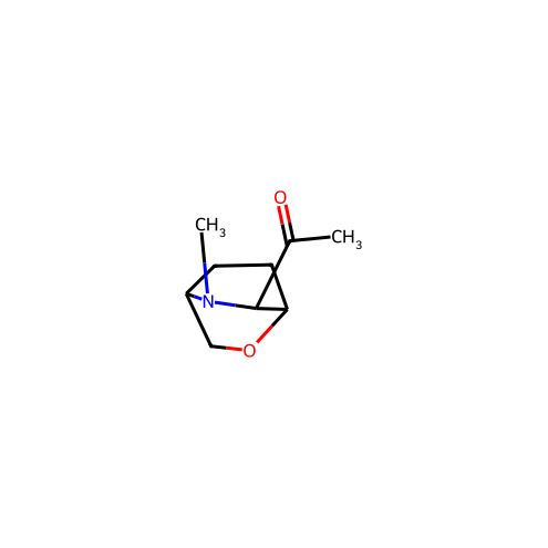 CC(=O)C1C2CCC(CO2)N1C